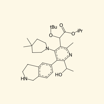 Cc1nc(C(C)O)c(-c2ccc3c(c2)CCNC3)c(N2CCC(C)(C)CC2)c1C(OC(C)(C)C)C(=O)OC(C)C